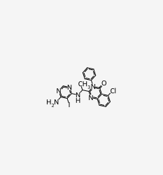 CC(Nc1ncnc(N)c1I)c1nc2cccc(Cl)c2c(=O)n1-c1ccccc1